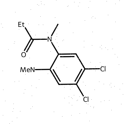 CCC(=O)N(C)c1cc(Cl)c(Cl)cc1NC